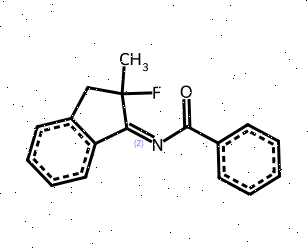 CC1(F)Cc2ccccc2/C1=N/C(=O)c1ccccc1